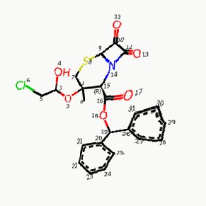 CC1(OC(O)CCl)CSC2C(=O)C(=O)N2[C@H]1C(=O)OC(c1ccccc1)c1ccccc1